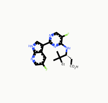 CCC(C)(C)[C@@H](CC(=O)O)Nc1nc(-c2c[nH]c3ncc(F)cc23)ncc1F